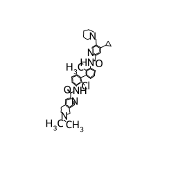 Cc1c(NC(=O)c2cc(C3CC3)c(CN3CCCCC3)cn2)cccc1-c1cccc(NC(=O)c2cc3c(cn2)CN(C(C)C)CC3)c1Cl